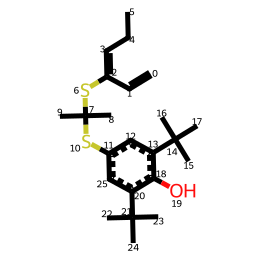 C=C/C(=C\CC)SC(C)(C)Sc1cc(C(C)(C)C)c(O)c(C(C)(C)C)c1